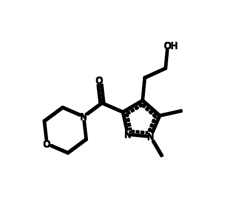 Cc1c(CCO)c(C(=O)N2CCOCC2)nn1C